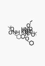 C=CCOC(=O)NS(=O)(=O)N(CC(=O)OC(C)(C)C)c1c(OCc2ccccc2)cc2c(c1F)CC(CNC(=O)OC(C)(C)C)CC2